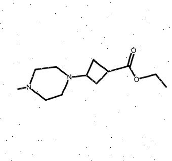 CCOC(=O)C1CC(N2CCN(C)CC2)C1